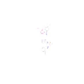 O=C/C(=C/c1ccccc1F)SC(=S)NCCC(=O)Nc1ccc(O)cc1C(=O)O